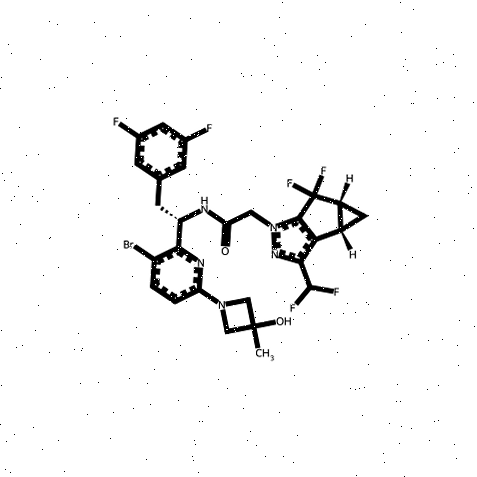 CC1(O)CN(c2ccc(Br)c([C@H](Cc3cc(F)cc(F)c3)NC(=O)Cn3nc(C(F)F)c4c3C(F)(F)[C@@H]3C[C@H]43)n2)C1